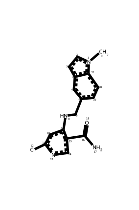 Cn1ccc2cc(CNc3cc(Cl)ncc3C(N)=O)ccc21